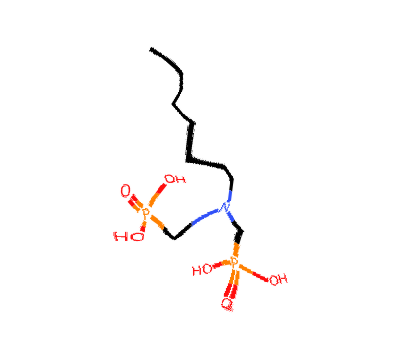 CCCCCCN(CP(=O)(O)O)CP(=O)(O)O